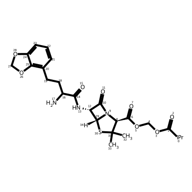 CC(C)C(=O)OCOC(=O)[C@@H]1N2C(=O)[C@@H](NC(=O)C(N)CCc3cccc4c3OCO4)[C@H]2SC1(C)C